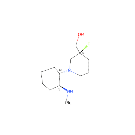 CC(C)(C)N[C@H]1CCCC[C@@H]1N1CCC[C@@](F)(CO)C1